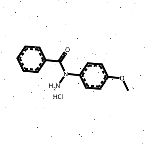 COc1ccc(N(N)C(=O)c2ccccc2)cc1.Cl